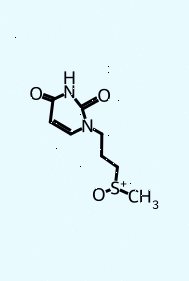 C[S+]([O-])CCCn1ccc(=O)[nH]c1=O